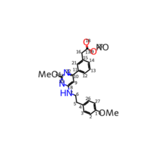 COc1ccc(CCNc2cc(-c3cccc(CC(=O)ON=O)c3)nc(OC)n2)cc1